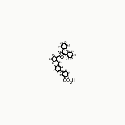 O=C(O)c1cccc(-c2cccc(CC3CCCC3c3nc(-c4ccccc4)c(-c4ccccc4)o3)c2)c1